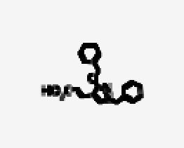 O=C(O)C=Cc1cn(Cc2ccccc2)nc1OCc1ccccc1